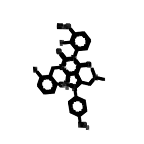 COc1cccc(-n2c(=O)c3c(CN(C)C)n(-c4ccc([N+](=O)[O-])cc4)nc3n(Cc3c(F)cccc3C(F)(F)F)c2=O)c1F